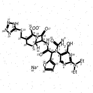 CCN(CC)c1ncc(N(C(N)=O)C(C(=O)NC2C(=O)N3C(C(=O)[O-])=C(CSc4nnn[nH]4)CS[C@@H]23)c2ccco2)c(O)n1.[Na+]